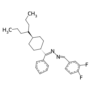 CCCC(CCC)[C@H]1CC[C@H](C(=NN=Cc2ccc(F)c(F)c2)c2ccccc2)CC1